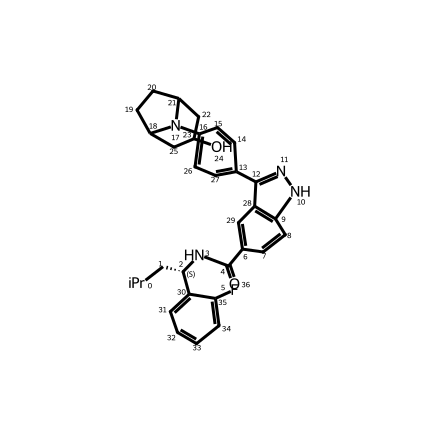 CC(C)C[C@H](NC(=O)c1ccc2[nH]nc(-c3ccc(N4C5CCC4CC(O)C5)cc3)c2c1)c1ccccc1F